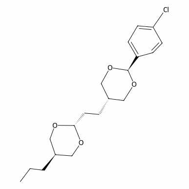 CCC[C@H]1CO[C@H](CC[C@H]2CO[C@H](c3ccc(Cl)cc3)OC2)OC1